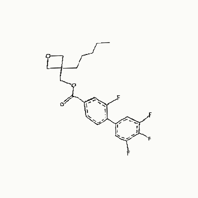 CCCCCC1(COC(=O)c2ccc(-c3cc(F)c(F)c(F)c3)c(F)c2)COC1